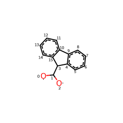 [O]C([O])C1c2ccccc2-c2ccccc21